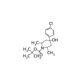 CC1CC(O)(c2ccc(Cl)cc2)CC(C)N1C(=O)OC(C)(C)C